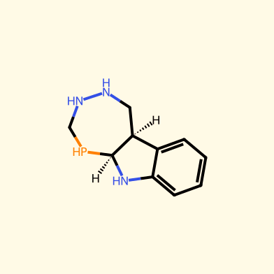 c1ccc2c(c1)N[C@H]1PCNNC[C@@H]21